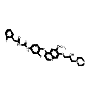 COc1cc2c(Oc3ccc(NC(=O)NC(=O)Cc4ccccc4F)cc3F)ccnc2cc1OCC(O)CN1CCOCC1